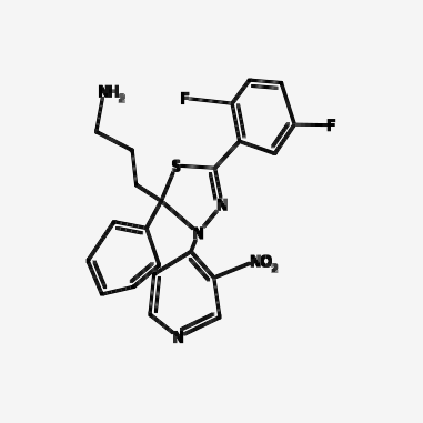 NCCCC1(c2ccccc2)SC(c2cc(F)ccc2F)=NN1c1ccncc1[N+](=O)[O-]